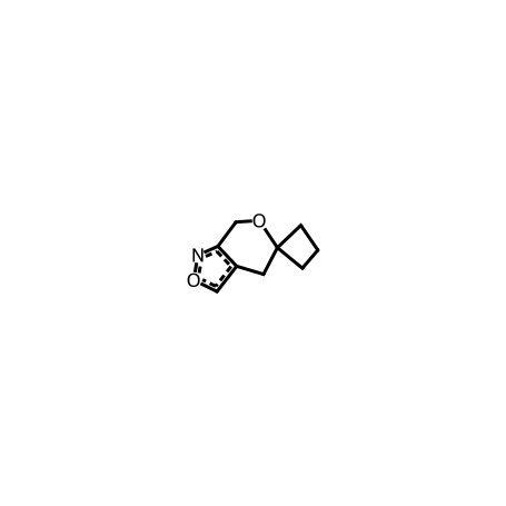 c1onc2c1CC1(CCC1)OC2